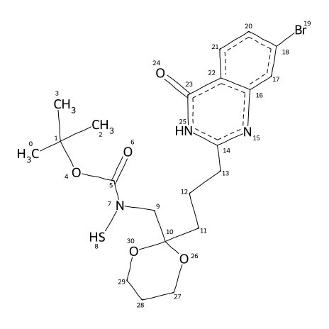 CC(C)(C)OC(=O)N(S)CC1(CCCc2nc3cc(Br)ccc3c(=O)[nH]2)OCCCO1